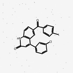 O=C(c1ccc(I)cc1)c1ccc2[nH]c(=O)cc(-c3cccc(Cl)c3)c2c1